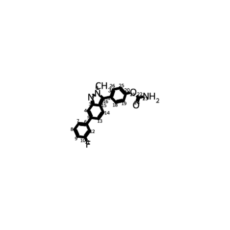 Cn1nc2cc(-c3cccc(F)c3)ccc2c1-c1ccc(OC(N)=O)cc1